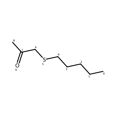 CCCCCSCC(C)=O